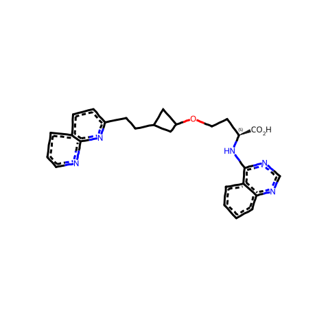 O=C(O)[C@H](CCOC1CC(CCc2ccc3cccnc3n2)C1)Nc1ncnc2ccccc12